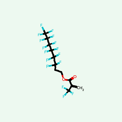 C=C(C(=O)OCCC(F)(F)C(F)(F)C(F)(F)C(F)(F)C(F)(F)C(F)(F)F)C(F)(F)F